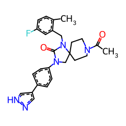 CC(=O)N1CCC2(CC1)CN(c1ccc(-c3cn[nH]c3)cc1)C(=O)N2Cc1cc(F)ccc1C